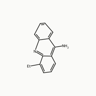 CCc1cccc2c(N)c3ccccc3nc12